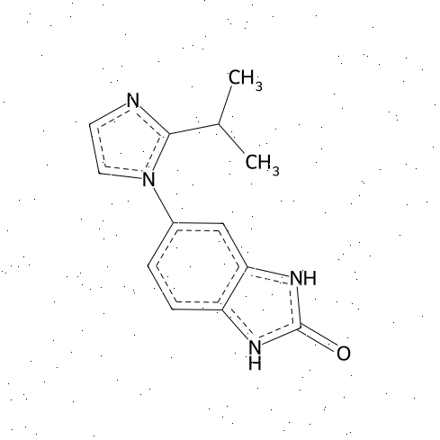 CC(C)c1nccn1-c1ccc2[nH]c(=O)[nH]c2c1